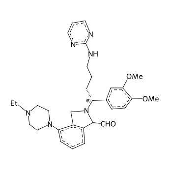 CCN1CCN(c2cccc3c2CN([C@H](CCCNc2ncccn2)c2ccc(OC)c(OC)c2)C3C=O)CC1